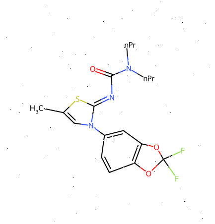 CCCN(CCC)C(=O)N=c1sc(C)cn1-c1ccc2c(c1)OC(F)(F)O2